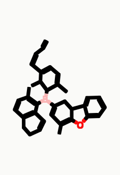 C=C/C=C\C1=CC=C(C)C(B(C2=CC(C)=C3Oc4ccccc4C3C2)c2c(C)ccc3c2C=CCC3)C1C